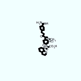 Cl.Cn1cc(C(=O)CCc2ccc(C(=N)N)cc2)c2ccc(N(CC(=O)O)S(=O)(=O)c3cccc4cccnc34)cc21